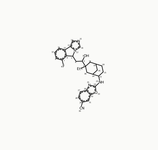 CCC1(C(O)CC2c3c(F)cccc3-c3cncn32)CC2CCC(Nc3nc4ccc(C#N)cc4o3)C(C2)C1